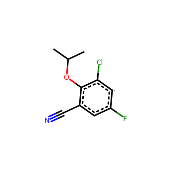 CC(C)Oc1c(Cl)[c]c(F)cc1C#N